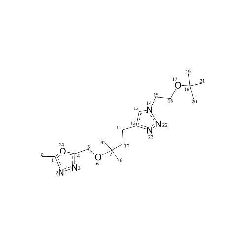 Cc1nnc(COC(C)(C)CCc2cn(CCOC(C)(C)C)nn2)o1